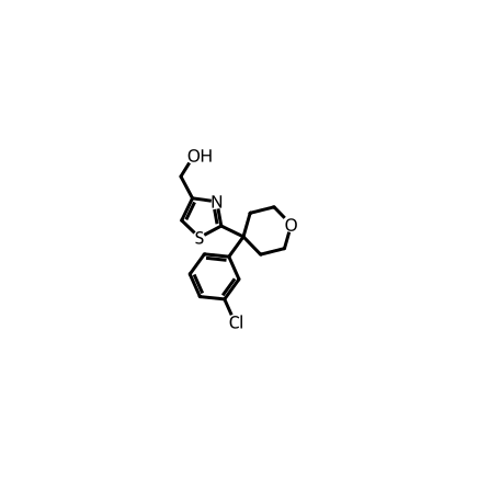 OCc1csc(C2(c3cccc(Cl)c3)CCOCC2)n1